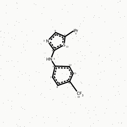 CC(C)c1cnc(Nc2ccc(C(F)(F)F)cc2)s1